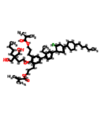 C=C(C)C(=O)OCCCc1cc(-c2ccc(C3CC=C(C4CCC(CCCCC)CC4)C=C3F)cc2CC)cc(CCCOC(=O)C(=C)C)c1OCCC(CO)(CO)CCCC